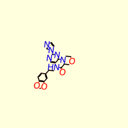 O=C(NCCc1ccc2c(c1)OCO2)C1COCCN1c1ccnc(-n2ccnc2)n1